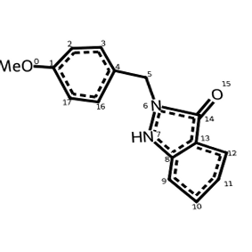 COc1ccc(Cn2[nH]c3ccccc3c2=O)cc1